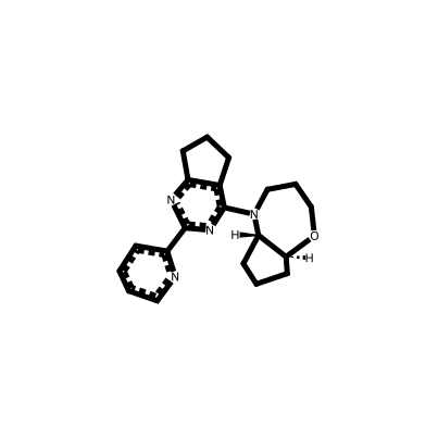 c1ccc(-c2nc3c(c(N4CCCO[C@H]5CCC[C@@H]54)n2)CCC3)nc1